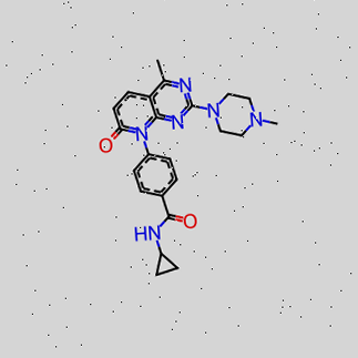 Cc1nc(N2CCN(C)CC2)nc2c1ccc(=O)n2-c1ccc(C(=O)NC2CC2)cc1